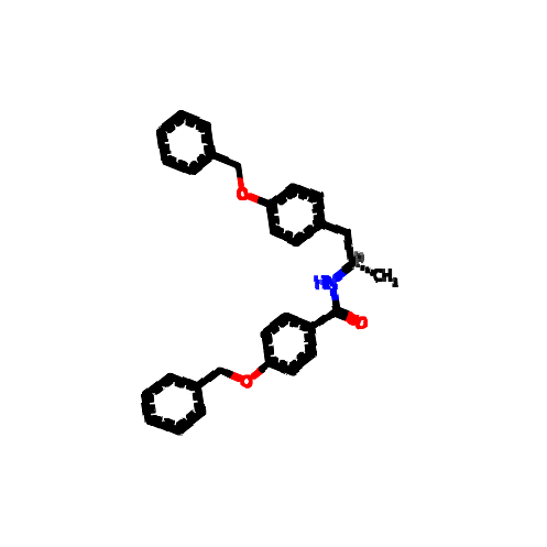 C[C@@H](Cc1ccc(OCc2ccccc2)cc1)NC(=O)c1ccc(OCc2ccccc2)cc1